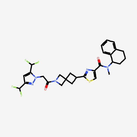 CN(C(=O)c1csc(C2CC3(C2)CN(C(=O)Cn2nc(C(F)F)cc2C(F)F)C3)n1)C1CCCc2ccccc21